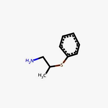 CC(CN)Sc1ccccc1